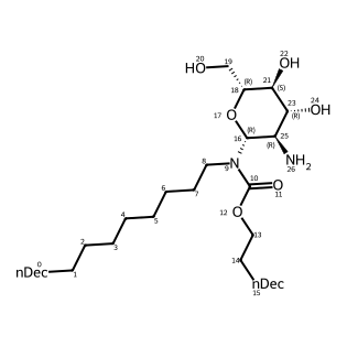 CCCCCCCCCCCCCCCCCCN(C(=O)OCCCCCCCCCCCC)[C@@H]1O[C@H](CO)[C@@H](O)[C@H](O)[C@H]1N